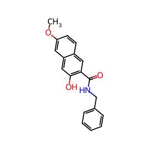 COc1ccc2cc(C(=O)NCc3ccccc3)c(O)cc2c1